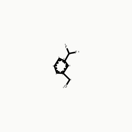 [O]Cc1cccc(C(F)F)c1